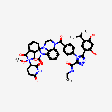 CCNC(=O)c1nnc(-c2cc(C(C)C)c(O)cc2O)n1-c1ccc(C(=O)N2CCN(C3(N(C(=O)O)c4ccccc4)CC=CC4=C3C[N+](OC)(C3CCC(=O)NC3=O)C4=O)CC2)cc1